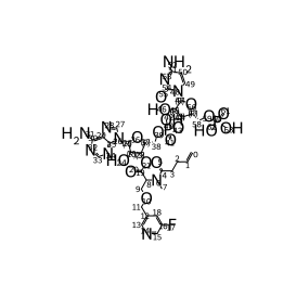 C=CCCC(=O)N(C)C(COCc1cncc(F)c1)C(=O)O[C@H]1[C@@H](O)[C@H](n2cnc3c(N)ncnc32)O[C@@H]1COP(=O)(O)O[C@H]1[C@@H](O)[C@H](n2ccc(N)nc2=O)O[C@@H]1COP(=O)(O)O